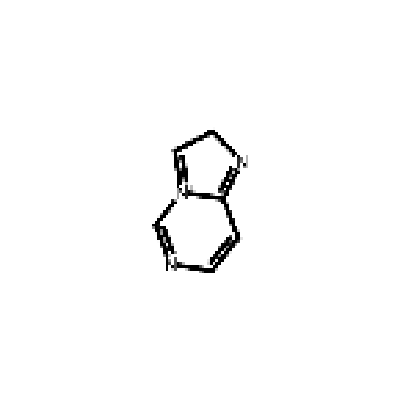 C1=[n+]2cnccc2=NC1